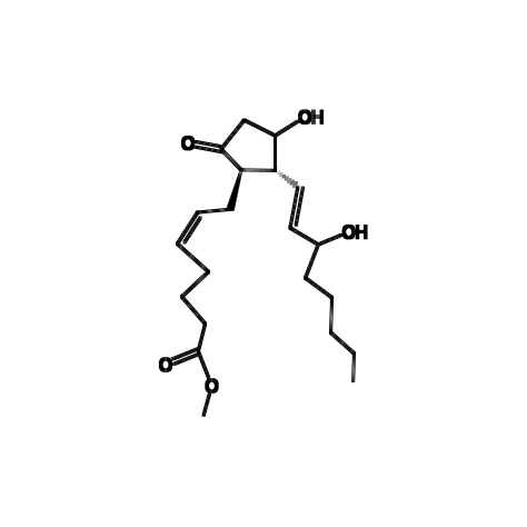 CCCCCC(O)/C=C/[C@H]1C(O)CC(=O)[C@@H]1C/C=C\CCCC(=O)OC